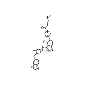 Cc1cc(Nc2ncnc3ccc(N4CCN(C(=O)/C=C/CN(C)C)CC4)c(F)c23)ccc1Cc1ccn2ncnc2c1